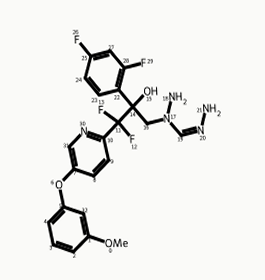 COc1cccc(Oc2ccc(C(F)(F)C(O)(CN(N)/C=N\N)c3ccc(F)cc3F)nc2)c1